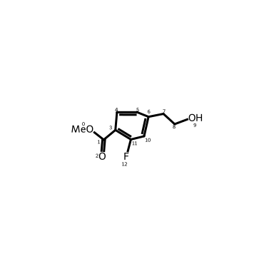 COC(=O)c1ccc(CCO)cc1F